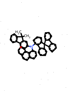 CC1(C)c2ccccc2-c2ccc(N(c3cccc4c3-c3ccccc3C43c4ccccc4-c4ccccc43)c3cccc4ccc5ccccc5c34)cc21